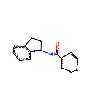 O=C(NC1CCc2ccccc21)C1=CC[CH]C=C1